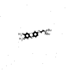 CCCCN(CCCC)CCOc1ccc(Sc2ccc(N)c(N)c2)cc1